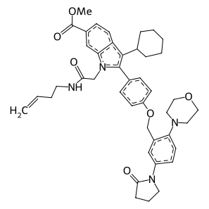 C=CCCNC(=O)Cn1c(-c2ccc(OCc3cc(N4CCCC4=O)ccc3N3CCOCC3)cc2)c(C2CCCCC2)c2ccc(C(=O)OC)cc21